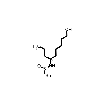 CC(C)(C)[S+]([O-])N[C@H](CCCCCO)CCC(F)(F)F